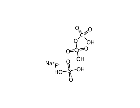 O=S(=O)(O)O.[F-].[Na+].[O]=[Cr](=[O])([OH])[O][Cr](=[O])(=[O])[OH]